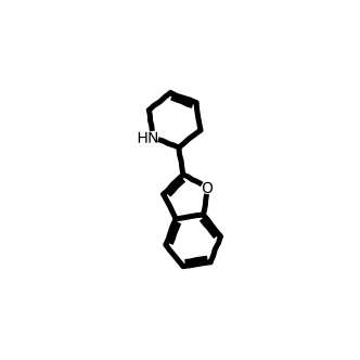 C1=CCC(c2cc3ccccc3o2)NC1